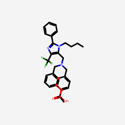 CCCCn1c(-c2ccccc2)nc(C(F)(F)F)c1CN(Cc1ccc(C(=O)O)cc1)Cc1cccc(OCC)c1